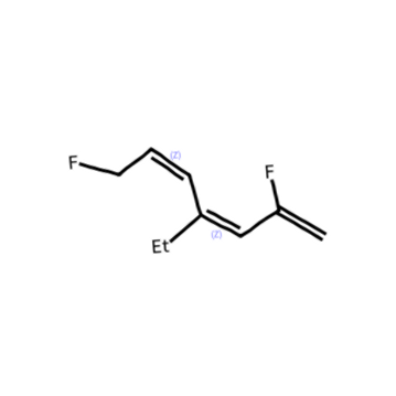 C=C(F)/C=C(\C=C/CF)CC